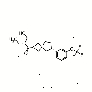 CC[C@H](CO)C(=O)N1CC2(CC[C@H](c3cccc(OC(F)(F)F)c3)C2)C1